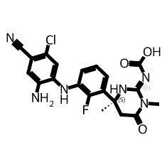 CN1C(=O)C[C@@](C)(c2cccc(Nc3cc(Cl)c(C#N)cc3N)c2F)N/C1=N\C(=O)O